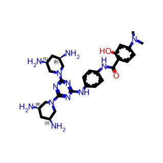 CN(C)c1ccc(C(=O)Nc2ccc(Nc3nc(N4C[C@H](N)C[C@H](N)C4)nc(N4C[C@H](N)C[C@H](N)C4)n3)cc2)c(O)c1